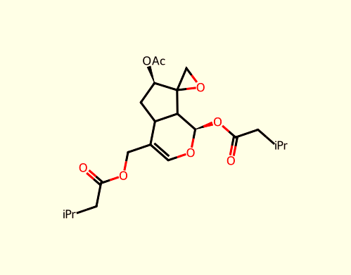 CC(=O)O[C@@H]1CC2C(COC(=O)CC(C)C)=CO[C@H](OC(=O)CC(C)C)C2C12CO2